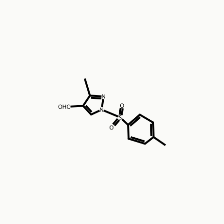 Cc1ccc(S(=O)(=O)n2cc(C=O)c(C)n2)cc1